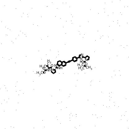 COC(=O)N[C@H](C(=O)N1CCC[C@H]1c1nc2c([nH]1)-c1ccc(C#Cc3ccc(-c4cnc(C5CCCN5C(=O)OC(C)(C)C)[nH]4)cc3)cc1CC2)C(C)C